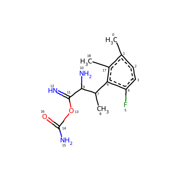 Cc1ccc(F)c(C(C)C(N)C(=N)OC(N)=O)c1C